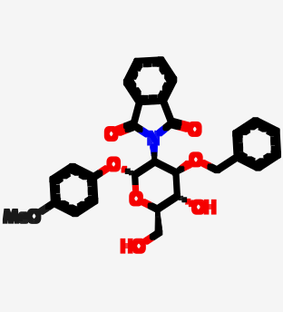 COc1ccc(O[C@H]2O[C@H](CO)[C@@H](O)[C@H](OCc3ccccc3)[C@@H]2N2C(=O)c3ccccc3C2=O)cc1